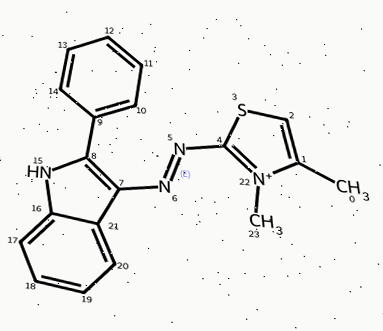 Cc1csc(/N=N/c2c(-c3ccccc3)[nH]c3ccccc23)[n+]1C